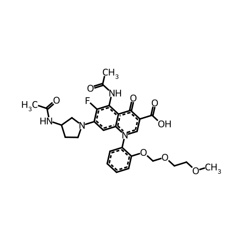 COCCOCOc1ccccc1-n1cc(C(=O)O)c(=O)c2c(NC(C)=O)c(F)c(N3CCC(NC(C)=O)C3)cc21